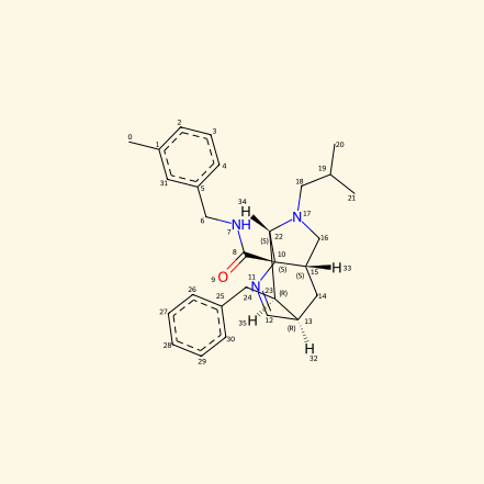 Cc1cccc(CNC(=O)[C@]23N=C[C@@H]4C[C@H]2CN(CC(C)C)[C@H]3[C@@H]4Cc2ccccc2)c1